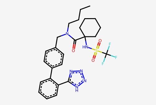 CCCCN(Cc1ccc(-c2ccccc2-c2nnn[nH]2)cc1)C(=O)C1(NS(=O)(=O)C(F)(F)F)CCCCC1